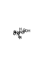 Cc1ccc(-c2cc(N[C@@H]3CCCN(C(=O)CO)C3)nc(-c3cnn4ccccc34)n2)cn1